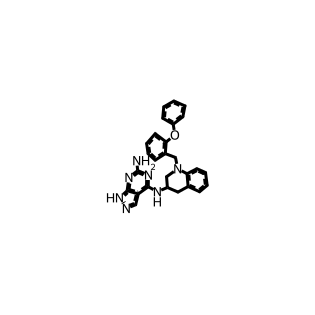 Nc1nc(NC2Cc3ccccc3N(Cc3ccccc3Oc3ccccc3)C2)c2cn[nH]c2n1